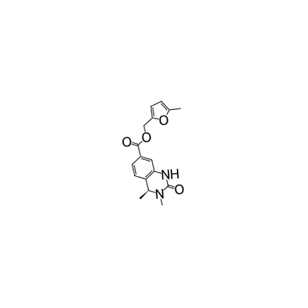 Cc1ccc(COC(=O)c2ccc3c(c2)NC(=O)N(C)[C@H]3C)o1